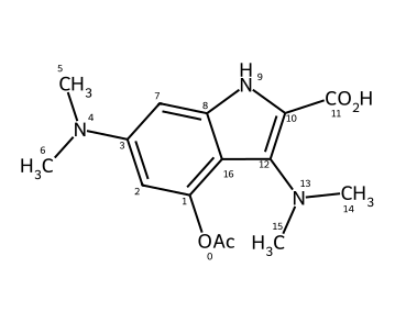 CC(=O)Oc1cc(N(C)C)cc2[nH]c(C(=O)O)c(N(C)C)c12